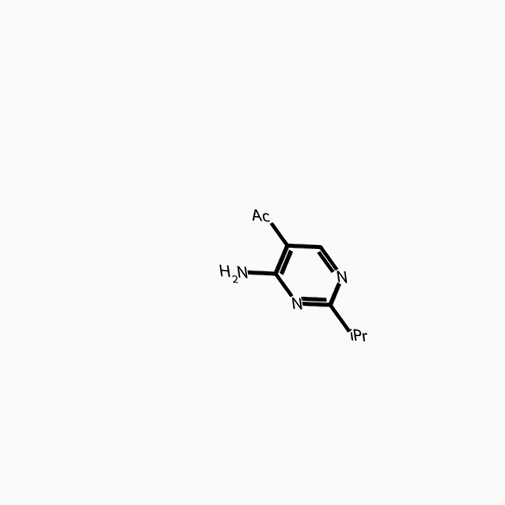 CC(=O)c1cnc(C(C)C)nc1N